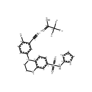 N#Cc1cc(N2CCOc3cc(S(=O)(=O)Nc4nccs4)ccc32)ccc1F.O=C(O)C(F)(F)F